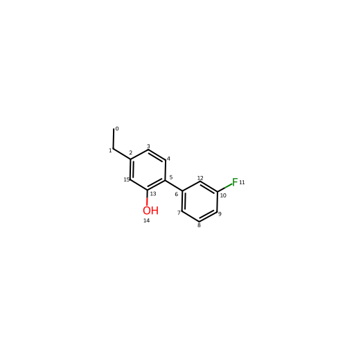 CCc1ccc(-c2cccc(F)c2)c(O)c1